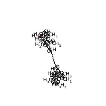 CC(=O)OC[C@H]1O[C@@H](Sc2ccc(NC(=O)CCCCCCCCCCCCC(=O)Nc3ccc(S[C@@H]4O[C@H](COC(C)=O)[C@@H](O[C@H]5O[C@H](COC(C)=O)[C@@H](OC(C)=O)[C@H](OC(C)=O)[C@H]5OC(C)=O)[C@H](OC(C)=O)[C@H]4OC(C)=O)cc3)cc2)[C@H](OC(C)=O)[C@@H](OC(C)=O)[C@@H]1O[C@H]1O[C@H](COC(C)=O)[C@@H](OC(C)=O)[C@H](OC(C)=O)[C@H]1OC(C)=O